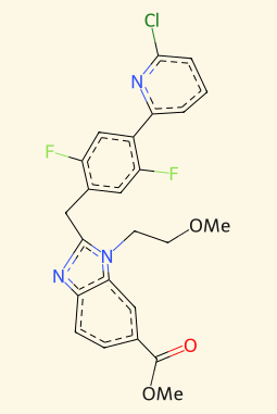 COCCn1c(Cc2cc(F)c(-c3cccc(Cl)n3)cc2F)nc2ccc(C(=O)OC)cc21